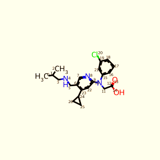 CC(C)CNCc1cnc(N(CC(=O)O)c2cccc(Cl)c2)cc1C1CC1